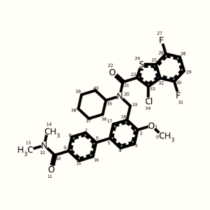 COc1ccc(-c2ccc(C(=O)N(C)C)cc2)cc1CN(C(=O)c1sc2c(F)ccc(F)c2c1Cl)C1CCCCC1